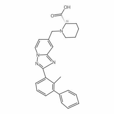 Cc1c(-c2ccccc2)cccc1-c1nc2cc(CN3CCCC[C@H]3C(=O)O)ccn2n1